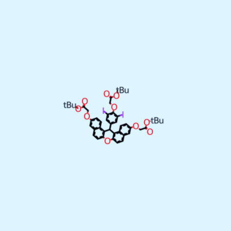 CC(C)(C)OC(=O)COc1ccc2c3c(ccc2c1)Oc1ccc2cc(OCC(=O)OC(C)(C)C)ccc2c1C3c1cc(I)c(OCC(=O)OC(C)(C)C)c(I)c1